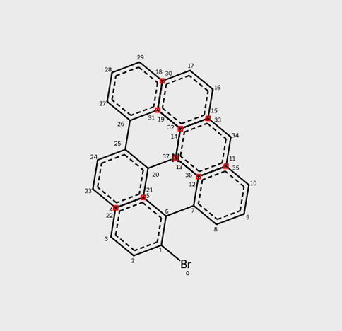 Brc1ccccc1-c1ccccc1N(c1ccccc1)c1ccccc1-c1ccccc1-c1ccccc1